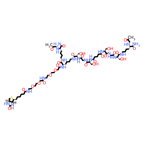 CC(=O)CN[C@@H](CCCCNC(=O)[C@H](CO)NC(=O)CNC(=O)[C@H](CO)NC(=O)CCCC(=O)N[C@@H](CO)C(=O)NCC(=O)N[C@@H](CO)C(=O)NCCCC[C@H](NC(=O)COCCOCCNC(=O)COCCOCCNC(=O)CCCCC[C@@H]1SC[C@@H]2NC(=O)N[C@@H]21)C(=O)NCCCC[C@H](NCC(C)=O)C(N)=O)C(N)=O